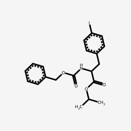 CC(C)OC(=O)C(Cc1ccc(I)cc1)NC(=O)OCc1ccccc1